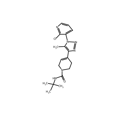 Cc1c(C2=CCN(C(=O)NC(C)(C)C)CC2)nnn1-c1cccnc1Cl